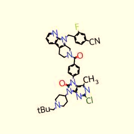 Cc1nc(Cl)nc2c1n(-c1ccc(C(=O)N3CCc4c(n(Cc5ccc(C#N)cc5F)c5ncccc45)C3)cc1)c(=O)n2C1CCN(CC(C)(C)C)CC1